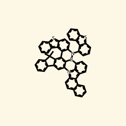 CC1(C)c2ccccc2-c2cc3c4c(c21)-c1c(ccc2sc5ccccc5c12)N(c1cccc2sc5ccccc5c12)B4c1cccc2c4c5ccccc5ccc4n-3c12